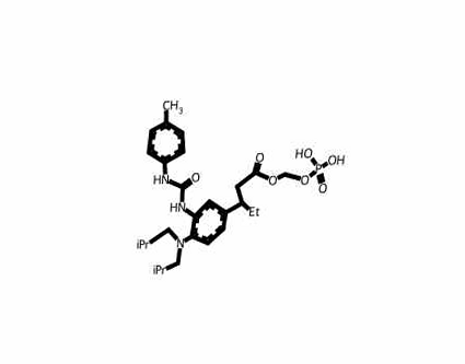 CCC(CC(=O)OCOP(=O)(O)O)c1ccc(N(CC(C)C)CC(C)C)c(NC(=O)Nc2ccc(C)cc2)c1